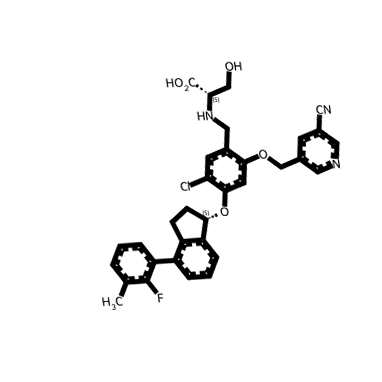 Cc1cccc(-c2cccc3c2CC[C@@H]3Oc2cc(OCc3cncc(C#N)c3)c(CN[C@@H](CO)C(=O)O)cc2Cl)c1F